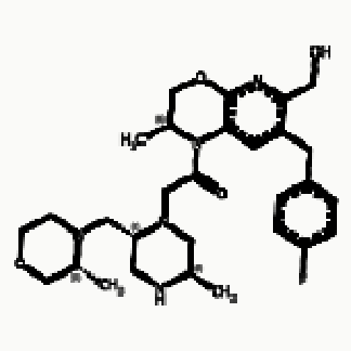 C[C@@H]1CN(CC(=O)N2c3cc(Cc4ccc(F)cc4)c(CO)nc3OC[C@@H]2C)[C@@H](CN2CCOC[C@H]2C)CN1